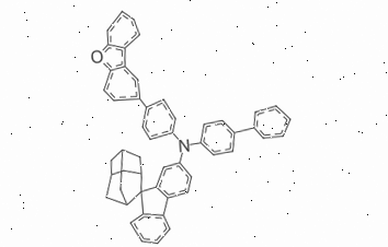 c1ccc(-c2ccc(N(c3ccc(-c4ccc5oc6ccccc6c5c4)cc3)c3ccc4c(c3)C3(c5ccccc5-4)C4CC5CC(C4)CC3C5)cc2)cc1